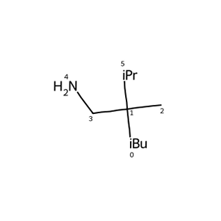 CCC(C)C(C)(CN)C(C)C